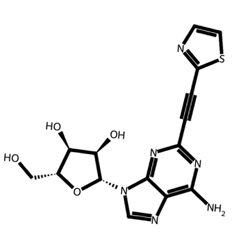 Nc1nc(C#Cc2nccs2)nc2c1ncn2[C@@H]1O[C@H](CO)[C@@H](O)[C@H]1O